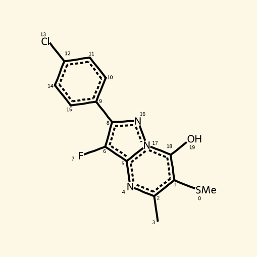 CSc1c(C)nc2c(F)c(-c3ccc(Cl)cc3)nn2c1O